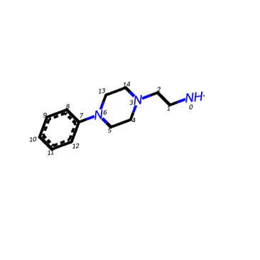 [NH]CCN1CCN(c2ccccc2)CC1